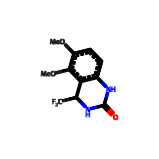 COc1ccc2c(c1OC)C(C(F)(F)F)NC(=O)N2